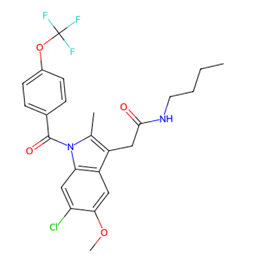 CCCCNC(=O)Cc1c(C)n(C(=O)c2ccc(OC(F)(F)F)cc2)c2cc(Cl)c(OC)cc12